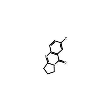 O=c1c2cc(Cl)ccc2nc2n1CCC2